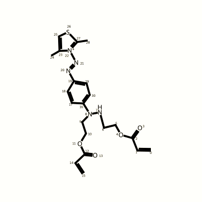 C=CC(=O)OCCNN(CCOC(=O)C=C)c1ccc(N=N[n+]2c(C)csc2C)cc1